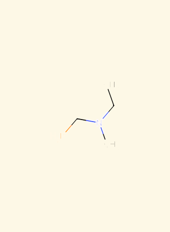 CCN(C)CP